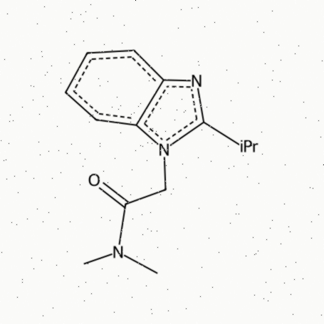 CC(C)c1nc2ccccc2n1CC(=O)N(C)C